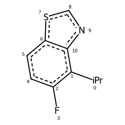 CC(C)c1c(F)ccc2scnc12